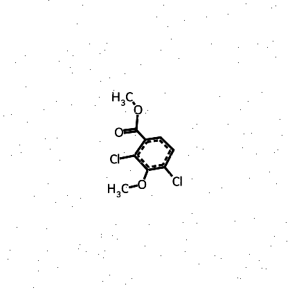 COC(=O)c1ccc(Cl)c(OC)c1Cl